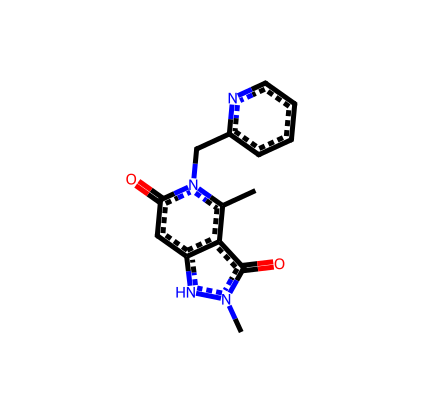 Cc1c2c(=O)n(C)[nH]c2cc(=O)n1Cc1ccccn1